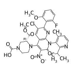 COC(=O)[C@H]1CN(C(=O)O)CCN1c1c([N+](=O)[O-])c(=O)n(-c2c(C)ccnc2C(C)C)c2nc(-c3c(F)cccc3OC)c(Cl)cc12